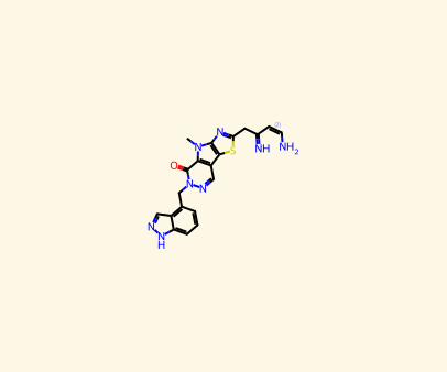 Cn1c2nc(CC(=N)/C=C\N)sc2c2cnn(Cc3cccc4[nH]ncc34)c(=O)c21